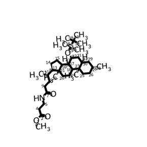 COC(=O)CCNC(=O)CC[C@@H](C)[C@H]1CCC2[C@H]3C(CC[C@@]21C)[C@@]1(C)CC[C@@H](C)C[C@H]1C[C@H]3O[Si](C)(C)C(C)(C)C